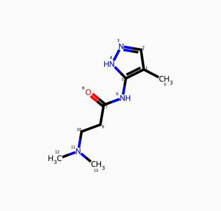 Cc1[c]n[nH]c1NC(=O)CCN(C)C